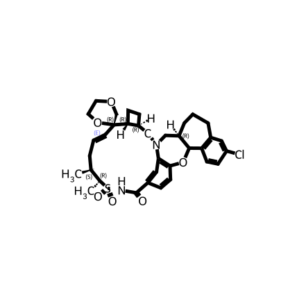 C[C@@H]1[C@@H](C)C/C=C/[C@@]2(COCCO2)[C@@H]2CC[C@H]2CN2C[C@H]3CCCc4cc(Cl)ccc4C3Oc3ccc(cc32)C(=O)NS1(=O)=O